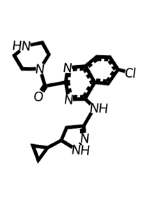 O=C(c1nc(NC2=NNC(C3CC3)C2)c2cc(Cl)ccc2n1)N1CCNCC1